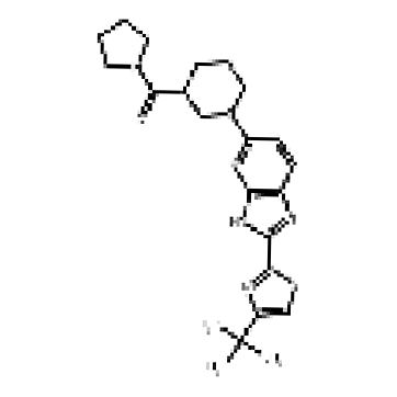 CC(C)(C)c1csc(-c2nc3ccc(N4CCCC(C(=O)N5CCCC5)C4)nc3[nH]2)n1